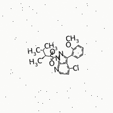 COc1ccccc1-c1nn(S(=O)(=O)[C@@H](C)C(C)C)c2nccc(Cl)c12